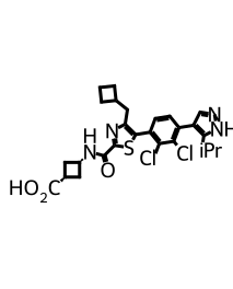 CC(C)c1[nH]ncc1-c1ccc(-c2sc(C(=O)N[C@H]3C[C@H](C(=O)O)C3)nc2CC2CCC2)c(Cl)c1Cl